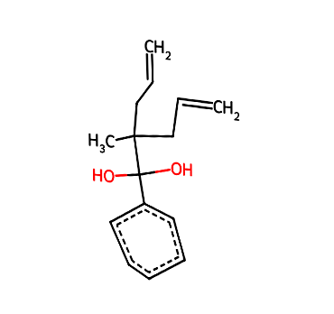 C=CCC(C)(CC=C)C(O)(O)c1ccccc1